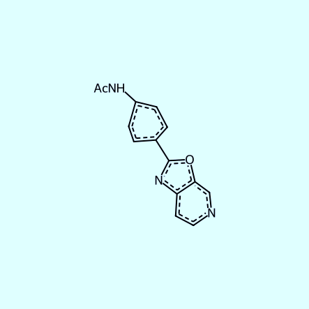 CC(=O)Nc1ccc(-c2nc3ccncc3o2)cc1